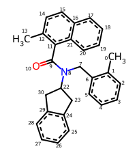 Cc1ccccc1CN(C(=O)c1c(C)ccc2ccccc12)C1Cc2ccccc2C1